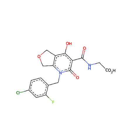 O=C(O)CNC(=O)c1c(O)c2c(n(Cc3ccc(Cl)cc3F)c1=O)COC2